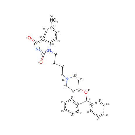 O=c1[nH]c(=O)n(CCCCN2CCC(OC(c3ccccc3)c3ccccc3)CC2)c2ccc([N+](=O)[O-])cc12